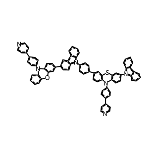 c1ccc2c(c1)Oc1cc(-c3ccc4c(c3)c3ccccc3n4-c3ccc(-c4ccc5c(c4)Sc4cc(-n6c7ccccc7c7ccccc76)ccc4N5c4ccc(-c5ccncc5)cc4)cc3)ccc1N2c1ccc(-c2ccncc2)cc1